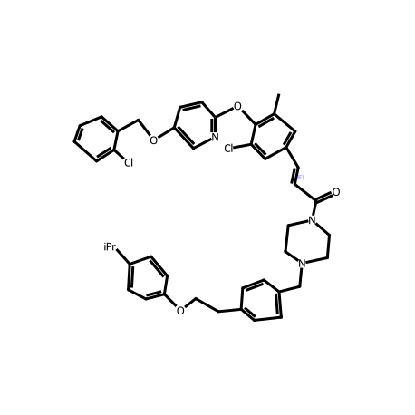 Cc1cc(/C=C/C(=O)N2CCN(Cc3ccc(CCOc4ccc(C(C)C)cc4)cc3)CC2)cc(Cl)c1Oc1ccc(OCc2ccccc2Cl)cn1